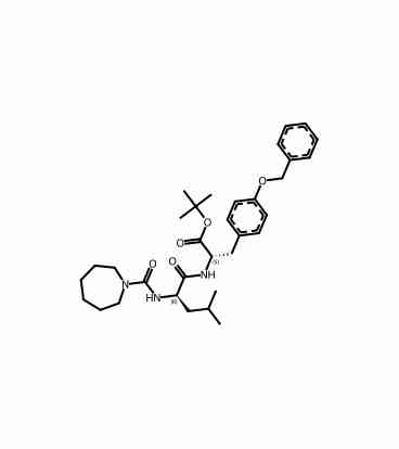 CC(C)C[C@@H](NC(=O)N1CCCCCC1)C(=O)N[C@@H](Cc1ccc(OCc2ccccc2)cc1)C(=O)OC(C)(C)C